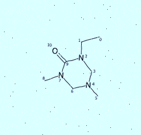 CCN1CN(C)CN(C)C1=O